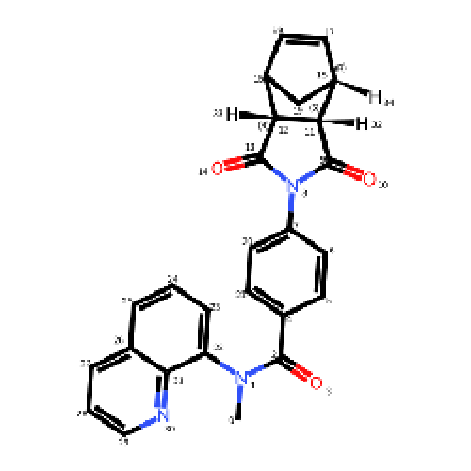 CN(C(=O)c1ccc(N2C(=O)[C@@H]3[C@H](C2=O)C2C=C[C@H]3C2)cc1)c1cccc2cccnc12